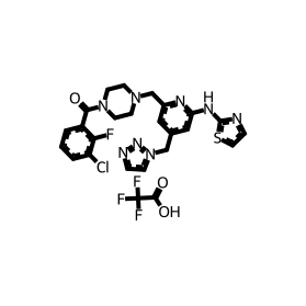 O=C(O)C(F)(F)F.O=C(c1cccc(Cl)c1F)N1CCN(Cc2cc(Cn3ccnn3)cc(Nc3nccs3)n2)CC1